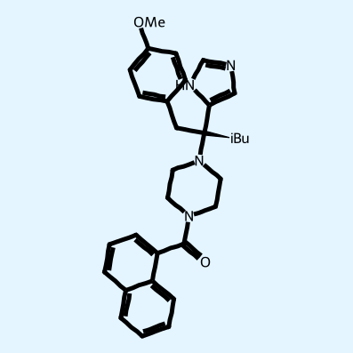 CC[C@H](C)C(Cc1ccc(OC)cc1)(c1cnc[nH]1)N1CCN(C(=O)c2cccc3ccccc23)CC1